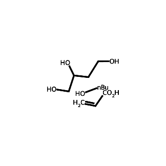 C=CC(=O)O.CCCCO.OCCC(O)CO